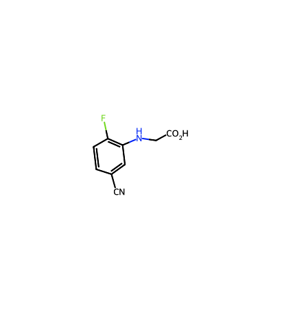 N#Cc1ccc(F)c(NCC(=O)O)c1